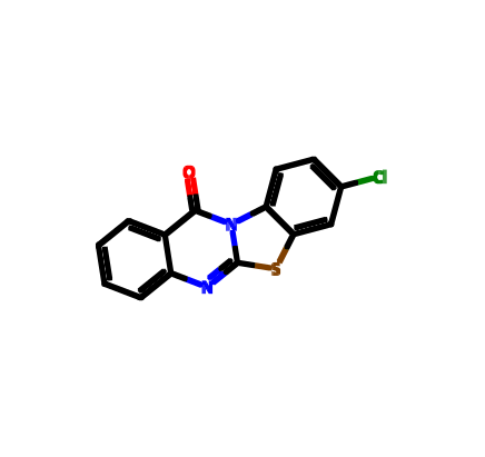 O=c1c2ccccc2nc2sc3cc(Cl)ccc3n12